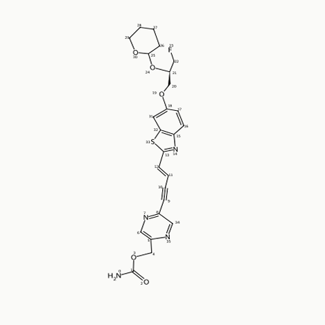 NC(=O)OCc1cnc(C#C/C=C/c2nc3ccc(OC[C@H](CF)OC4CCCCO4)cc3s2)cn1